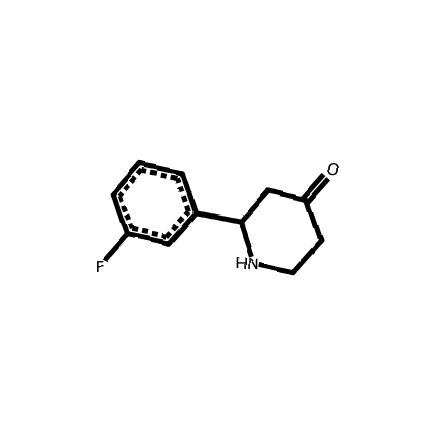 O=C1CCNC(c2cccc(F)c2)C1